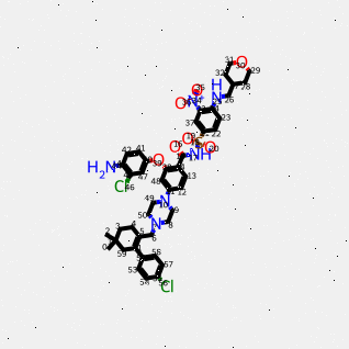 CC1(C)CCC(CN2CCN(c3ccc(C(=O)NS(=O)(=O)c4ccc(NCC5CCOCC5)c([N+](=O)[O-])c4)c(Oc4ccc(N)c(Cl)c4)c3)CC2)=C(c2ccc(Cl)cc2)C1